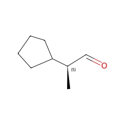 C[C@H](C=O)C1CCCC1